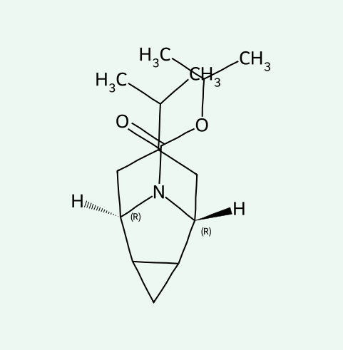 CC(C)OC(=O)N1[C@@H]2CC(C(C)C)C[C@@H]1C1CC12